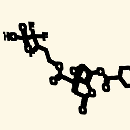 O=C1Oc2c(OC(=O)C3CCCCC3)c3oc2c1c3C(=O)OCCC(F)C(F)(F)S(=O)(=O)O